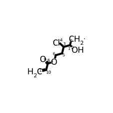 [CH2]C(O)C(Cl)CCOC(=O)C=C